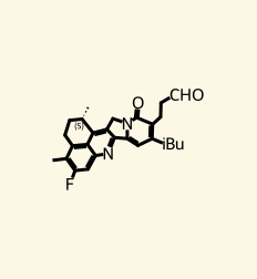 CCC(C)c1cc2n(c(=O)c1CCC=O)Cc1c-2nc2cc(F)c(C)c3c2c1[C@@H](C)CC3